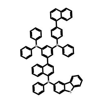 c1ccc(N(c2ccccc2)c2cc(-c3ccc(N(c4ccccc4)c4ccc5sc6ccccc6c5c4)c4ccccc34)cc(N(c3ccccc3)c3ccc(-c4cccc5ccccc45)cc3)c2)cc1